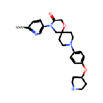 COc1ccc(N2CC3(CCN(c4ccc(OC5CCNCC5)cc4)CC3)OCC2=O)cn1